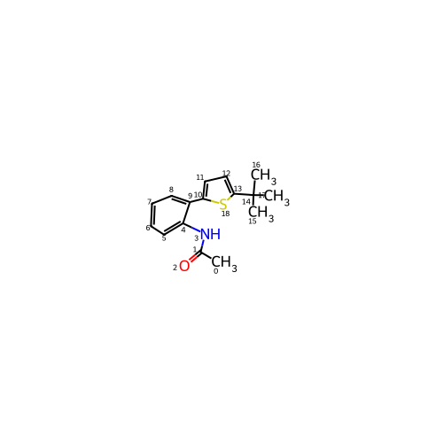 CC(=O)Nc1ccccc1-c1ccc(C(C)(C)C)s1